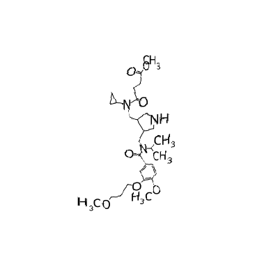 COCCCOc1cc(C(=O)N(CC2CNCC2CN(C(=O)CCC(=O)OC)C2CC2)C(C)C)ccc1OC